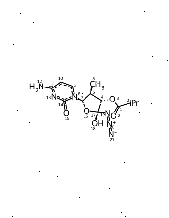 CC(C)C(=O)O[C@H]1[C@H](C)[C@H](n2ccc(N)nc2=O)O[C@@]1(O)N=[N+]=[N-]